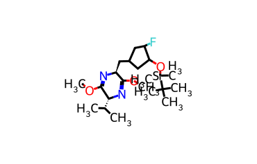 COC1=N[C@H](C(C)C)C(OC)=N[C@H]1CC1CC(F)C(O[Si](C)(C)C(C)(C)C)C1